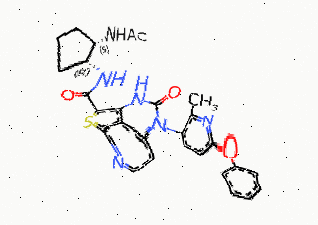 CC(=O)N[C@H]1CCC[C@H]1NC(=O)c1sc2nccc3c2c1NC(=O)N3c1ccc(Oc2ccccc2)nc1C